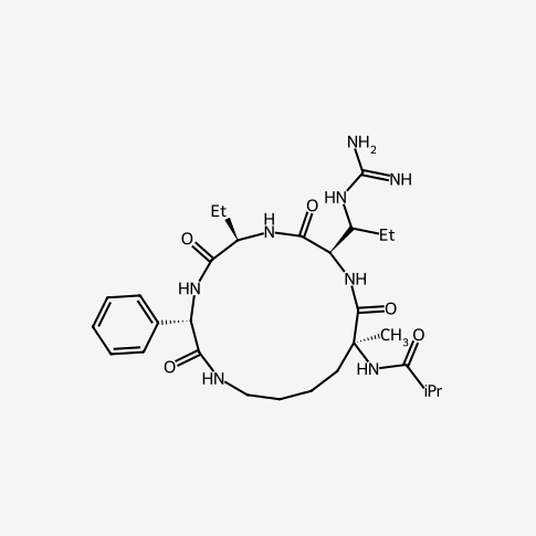 CCC(NC(=N)N)[C@H]1NC(=O)[C@@](C)(NC(=O)C(C)C)CCCCNC(=O)[C@H](c2ccccc2)NC(=O)[C@@H](CC)NC1=O